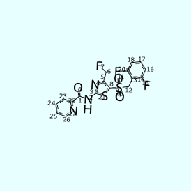 O=C(Nc1nc(CF)c(S(=O)(=O)Cc2c(F)cccc2F)s1)c1ccccn1